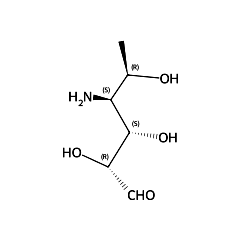 C[C@@H](O)[C@H](N)[C@H](O)[C@@H](O)C=O